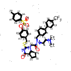 CCN(CC)CCN(Cc1ccc(-c2ccc(C(F)(F)F)cc2)cc1)C(=O)Cn1c(SCc2ccc(OS(=O)(=O)c3ccc(C)cc3)cc2)nc(=O)c2c1CCC2